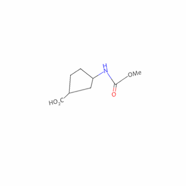 COC(=O)NC1CCC(C(=O)O)C1